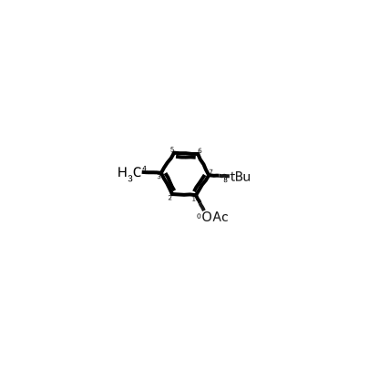 CC(=O)Oc1cc(C)ccc1C(C)(C)C